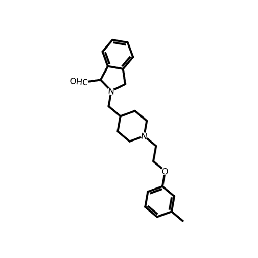 Cc1cccc(OCCN2CCC(CN3Cc4ccccc4C3C=O)CC2)c1